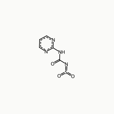 O=C(N=S(=O)=O)Nc1ncccn1